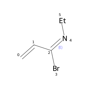 C=C/C(Br)=N\CC